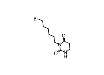 O=C1CCNC(=O)N1CCCCCCBr